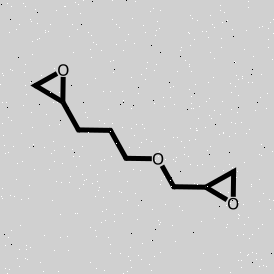 C(COCC1CO1)CC1CO1